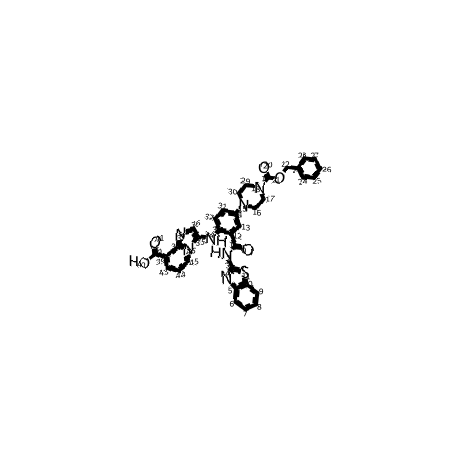 O=C(Nc1nc2ccccc2s1)c1cc(N2CCN(C(=O)OCc3ccccc3)CC2)ccc1Nc1cnc2c(C(=O)O)cccn12